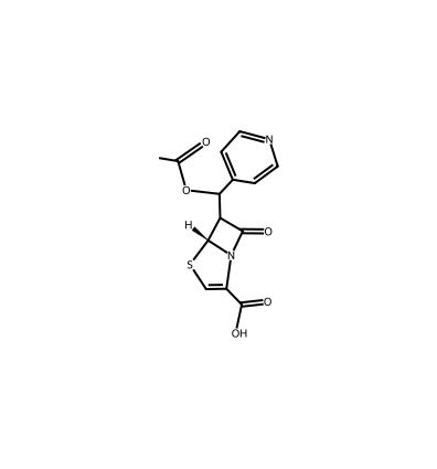 CC(=O)OC(c1ccncc1)C1C(=O)N2C(C(=O)O)=CS[C@H]12